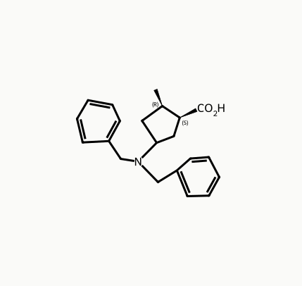 C[C@@H]1CC(N(Cc2ccccc2)Cc2ccccc2)C[C@@H]1C(=O)O